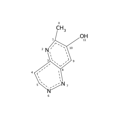 Cc1nc2ccnnc2cc1O